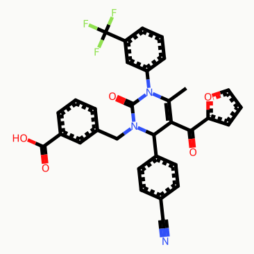 CC1=C(C(=O)c2ccco2)C(c2ccc(C#N)cc2)N(Cc2cccc(C(=O)O)c2)C(=O)N1c1cccc(C(F)(F)F)c1